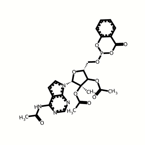 CC(=O)Nc1ncnc2c1ccn2[C@@H]1O[C@H](COP2OC(=O)c3ccccc3O2)C(OC(C)=O)[C@@]1(C)OC(C)=O